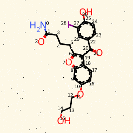 NC(=O)CCCc1oc2cc(OCCCO)ccc2c1C(=O)c1ccc(O)c(I)c1